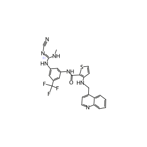 CN/C(=N\C#N)Nc1cc(NC(=O)c2sccc2NCc2ccnc3ccccc23)cc(C(F)(F)F)c1